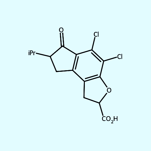 CC(C)C1Cc2c3c(c(Cl)c(Cl)c2C1=O)OC(C(=O)O)C3